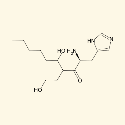 CCCCCC(O)C(CCO)C(=O)[C@@H](N)Cc1cnc[nH]1